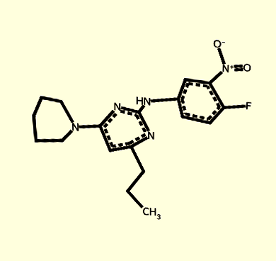 CCCc1cc(N2CCCCC2)nc(Nc2ccc(F)c([N+](=O)[O-])c2)n1